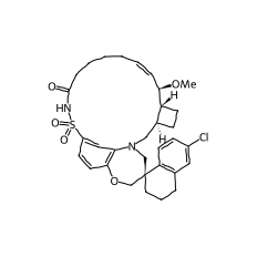 CO[C@@H]1C=CCCCCC(=O)NS(=O)(=O)c2ccc3c(c2)N(C[C@@H]2CC[C@H]21)C[C@@]1(CCCc2cc(Cl)ccc21)CO3